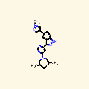 CC1CCC(C)CN(c2cc(-c3n[nH]c4ccc(-c5cnn(C)c5)cc34)ncn2)C1